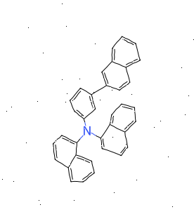 c1cc(-c2ccc3ccccc3c2)cc(N(c2cccc3ccccc23)c2cccc3ccccc23)c1